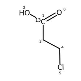 O=[13C](O)CCCl